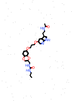 CCCNC(=O)NCC1=COc2ccc(OCCCOc3cnc4[nH]cc(CCNC(C)=O)c4c3)cc2O1